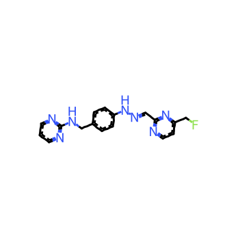 FCc1ccnc(/C=N/Nc2ccc(CNc3ncccn3)cc2)n1